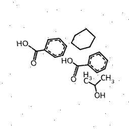 C1CCCCC1.CC(C)O.O=C(O)c1ccccc1.O=C(O)c1ccccc1